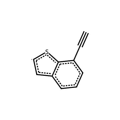 C#Cc1cccc2c[c]sc12